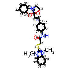 Cn1c(SCC(=O)Nc2ccc(/C=C/C34OCCN3c3ccccc3O4)cc2)[n+](C)c2ccccc21